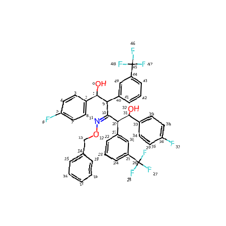 OC(c1ccc(F)cc1)C(C(=NOCc1ccccc1)C(c1cccc(C(F)(F)F)c1)C(O)c1ccc(F)cc1)c1cccc(C(F)(F)F)c1